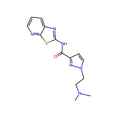 CN(C)CCn1ccc(C(=O)Nc2nc3cccnc3s2)n1